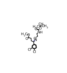 COC(=O)CC/C(=N\OCCNC(=O)OC(C)(C)C)c1ccc(Cl)c(Cl)c1